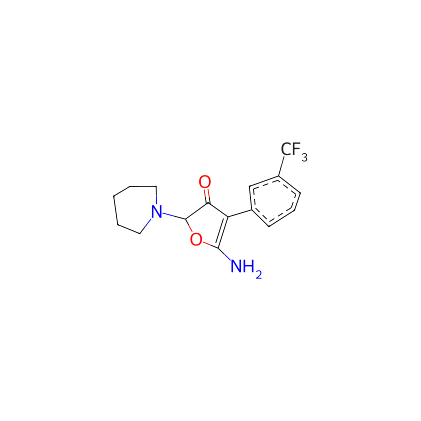 NC1=C(c2cccc(C(F)(F)F)c2)C(=O)C(N2CCCCC2)O1